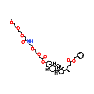 COCCOCCOCC(=O)NCCOCCOCC(=O)O[C@H]1CC[C@@]2(C)[C@H](CC[C@@H]3[C@@H]2CC[C@]2(C)[C@@H]([C@H](C)CCC(=O)OCc4ccccc4)CC[C@@H]32)C1